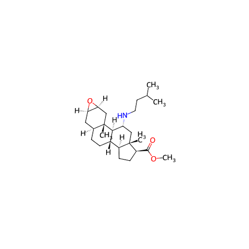 COC(=O)[C@H]1CC[C@H]2[C@@H]3CC[C@H]4C[C@H]5O[C@H]5C[C@]4(C)[C@H]3[C@H](NCCC(C)C)C[C@]12C